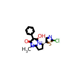 Cn1c2[n+](c(O)c(-c3ccccc3)c1=O)[C@H](c1cnc(Cl)s1)CC2